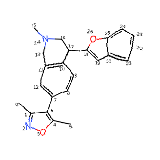 Cc1noc(C)c1-c1ccc2c(c1)CN(C)CC2c1cc2ccccc2o1